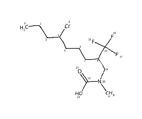 CCC[CH]([Cr])CCCC(CN(C)C(=O)O)C(F)(F)F